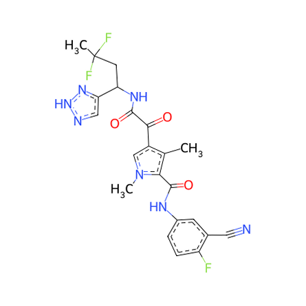 Cc1c(C(=O)C(=O)NC(CC(C)(F)F)c2cn[nH]n2)cn(C)c1C(=O)Nc1ccc(F)c(C#N)c1